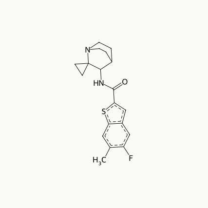 Cc1cc2sc(C(=O)NC3C4CCN(CC4)C34CC4)cc2cc1F